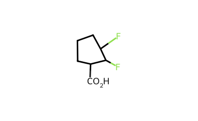 O=C(O)C1CCCC(F)C1F